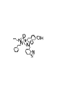 C=CCN1CC(=O)N2C(Cc3ccc(O)cc3)C(=O)N(CC3=CC=CC4SC=NC34)CC2N1CCc1ccccc1